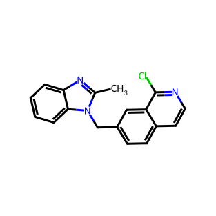 Cc1nc2ccccc2n1Cc1ccc2ccnc(Cl)c2c1